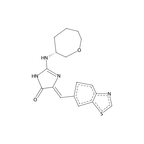 O=C1NC(N[C@@H]2CCCCOC2)=N/C1=C\c1ccc2ncsc2c1